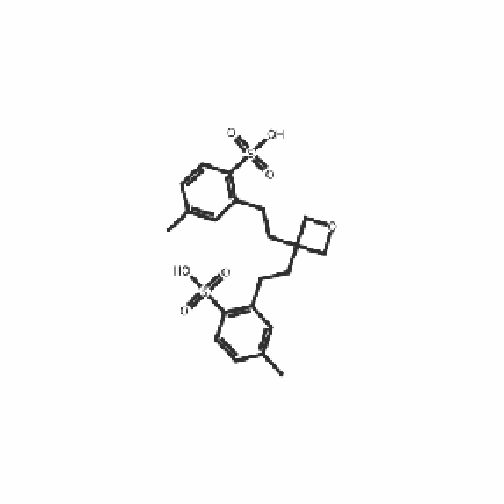 Cc1ccc(S(=O)(=O)O)c(CCC2(CCc3cc(C)ccc3S(=O)(=O)O)COC2)c1